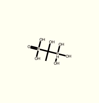 CC(O)(P(=O)(O)O)[PH](O)(O)O